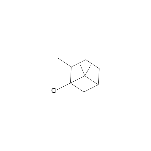 CC1CCC2CC1(Cl)C2(C)C